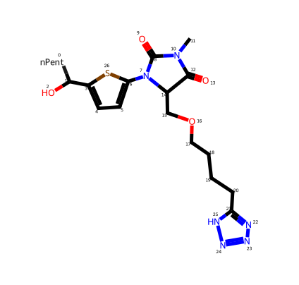 CCCCCC(O)c1ccc(N2C(=O)N(C)C(=O)C2COCCCCc2nnn[nH]2)s1